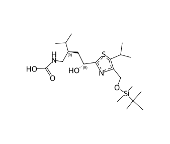 CC(C)c1sc([C@H](O)C[C@@H](CNC(=O)O)C(C)C)nc1CO[Si](C)(C)C(C)(C)C